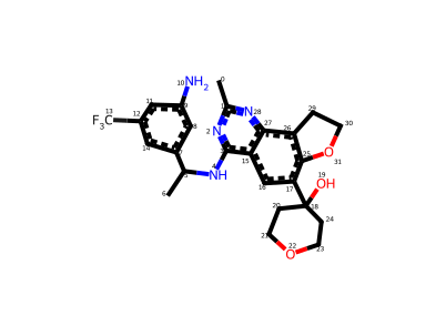 Cc1nc(NC(C)c2cc(N)cc(C(F)(F)F)c2)c2cc(C3(O)CCOCC3)c3c(c2n1)CCO3